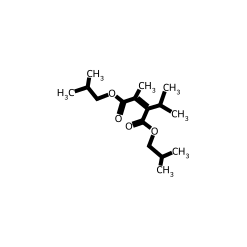 C/C(C(=O)OCC(C)C)=C(/C(=O)OCC(C)C)C(C)C